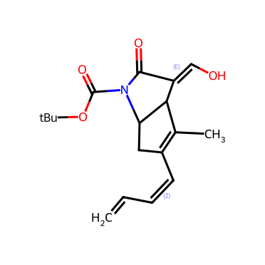 C=C/C=C\C1=C(C)C2/C(=C\O)C(=O)N(C(=O)OC(C)(C)C)C2C1